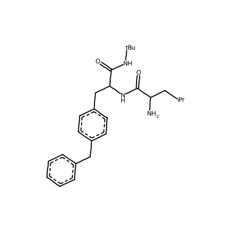 CC(C)CC(N)C(=O)NC(Cc1ccc(Cc2ccccc2)cc1)C(=O)NC(C)(C)C